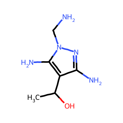 CC(O)c1c(N)nn(CN)c1N